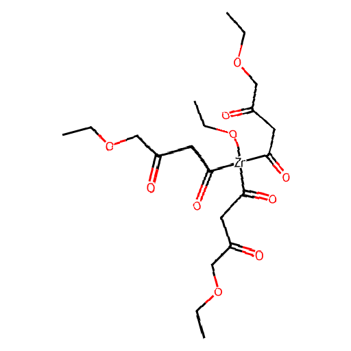 CCOCC(=O)C[C](=O)[Zr]([O]CC)([C](=O)CC(=O)COCC)[C](=O)CC(=O)COCC